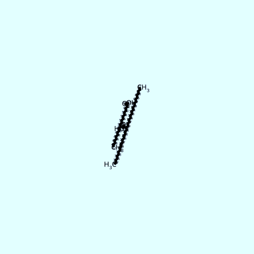 CCCCCCCCCCCCCCCCCCCCC(CCCCCCCCCCCCCCCCCC)C(=O)O.CCCCCCCCCCCCCCCCCCCCCC(=O)O